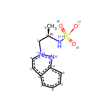 C[C@H](C[n+]1ccc2ccccc2n1)NS(=O)(=O)[O-]